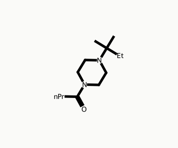 CCCC(=O)N1CCN(C(C)(C)CC)CC1